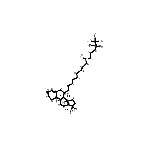 CC1(O)CC[C@H]2[C@@H]3C(CCCCCCCCC[S+]([O-])CCCC(F)(F)C(F)(F)F)CC4=CC(=O)CC[C@]4(C)[C@@H]3CC[C@@]21C